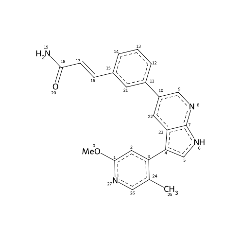 COc1cc(-c2c[nH]c3ncc(-c4cccc(C=CC(N)=O)c4)cc23)c(C)cn1